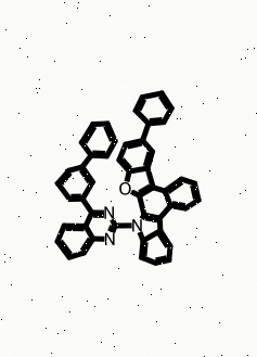 c1ccc(-c2cccc(-c3nc(-n4c5ccccc5c5c6ccccc6c6c7cc(-c8ccccc8)ccc7oc6c54)nc4ccccc34)c2)cc1